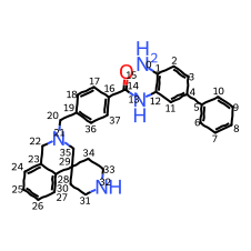 Nc1ccc(-c2ccccc2)cc1NC(=O)c1ccc(CN2Cc3ccccc3C3(CCNCC3)C2)cc1